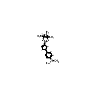 CN(C)c1ccc(C2CC=C(B3OC(C)(C)C(C)(C)O3)C2)cc1